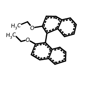 CCOc1ccc2ccccc2c1-c1c(OCC)ccc2ccccc12